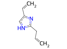 C=CCc1nc(C=C)c[nH]1